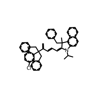 C=C(/C=C/C=C1/N(C(C)C)c2ccc3ccccc3c2C1(C)Cc1ccccc1)C(Cc1ccccc1)(Cc1ccccc1)c1cc(Cl)ccc1C